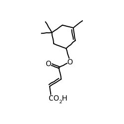 CC1=CC(OC(=O)C=CC(=O)O)CC(C)(C)C1